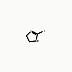 CCC1=NCCN1